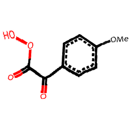 COc1ccc(C(=O)C(=O)OO)cc1